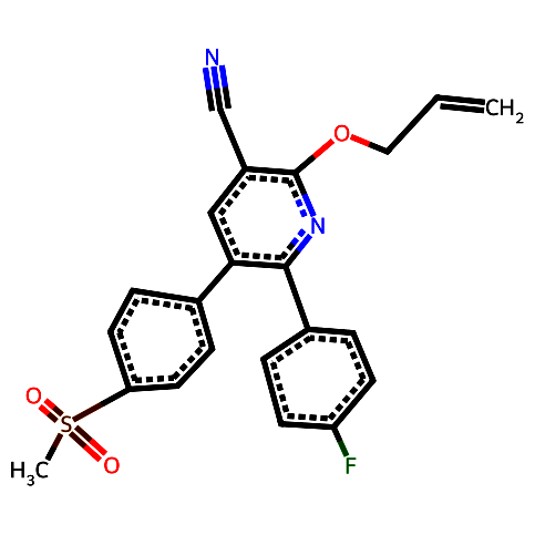 C=CCOc1nc(-c2ccc(F)cc2)c(-c2ccc(S(C)(=O)=O)cc2)cc1C#N